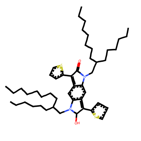 CCCCCCCCC(CCCCCC)CN1C(=O)C(c2cccs2)=c2cc3c(cc21)=C(c1cccs1)C(O)N3CC(CCCCCC)CCCCCCCC